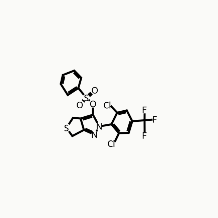 O=S(=O)(Oc1c2c(nn1-c1c(Cl)cc(C(F)(F)F)cc1Cl)CSC2)c1ccccc1